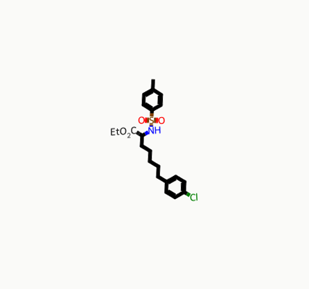 CCOC(=O)C(CCCCCc1ccc(Cl)cc1)NS(=O)(=O)c1ccc(C)cc1